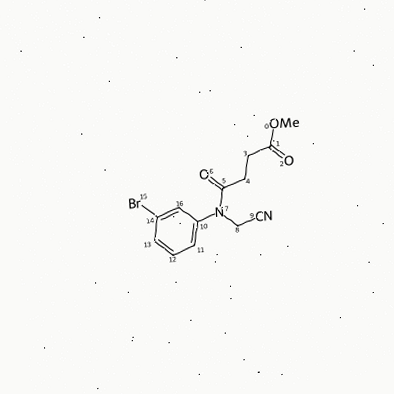 COC(=O)CCC(=O)N(CC#N)c1cccc(Br)c1